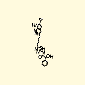 O=C(Nc1nnc(CCCCc2cc3cc(C4CC4)[nH]c3nn2)s1)[C@@H](O)c1ccccc1